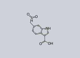 O=C(O)c1c[nH]c2cc(C[SH](=O)=O)ccc12